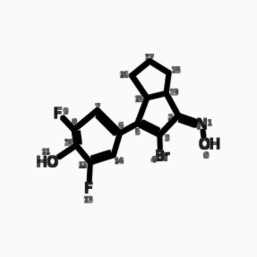 ON=C1C(Br)=C(c2cc(F)c(O)c(F)c2)C2CCCC12